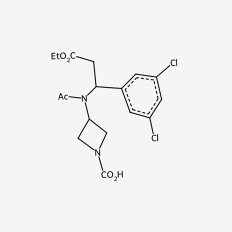 CCOC(=O)CC(c1cc(Cl)cc(Cl)c1)N(C(C)=O)C1CN(C(=O)O)C1